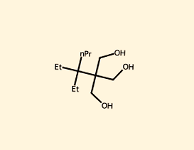 CCCC(CC)(CC)C(CO)(CO)CO